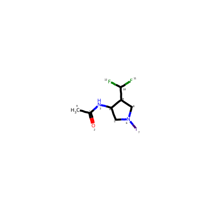 CC(=O)NC1CN(I)CC1C(F)F